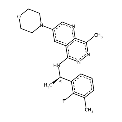 Cc1cccc([C@@H](C)Nc2nnc(C)c3ncc(N4CCOCC4)cc23)c1F